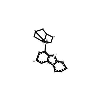 c1ccc2c(c1)oc1c(N3C4CC5CC(C4)CC3C5)cccc12